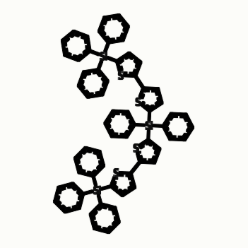 c1ccc([Si](c2ccccc2)(c2ccccc2)c2ccc(-c3ccc([Si](c4ccccc4)(c4ccccc4)c4ccc(-c5ccc([Si](c6ccccc6)(c6ccccc6)c6ccccc6)s5)s4)s3)s2)cc1